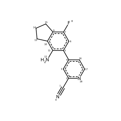 N#Cc1cc(-c2cc(F)c3c(c2N)CCC3)ccn1